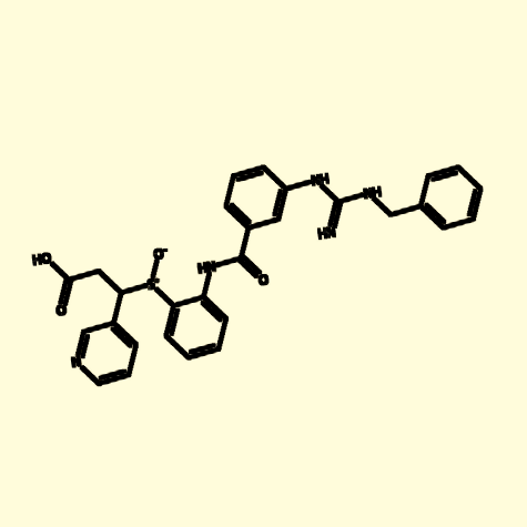 N=C(NCc1ccccc1)Nc1cccc(C(=O)Nc2ccccc2[S+]([O-])C(CC(=O)O)c2cccnc2)c1